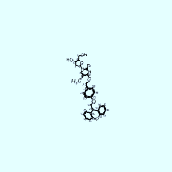 Cc1cn([C@H]2C[C@H](O)C(CO)O2)c(=O)nc1OCc1ccc(OCC2c3ccccc3Oc3ccccc32)cc1